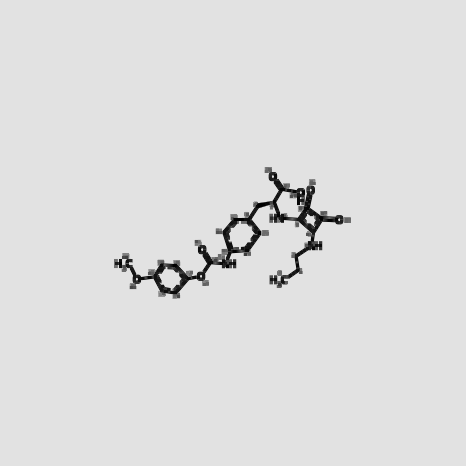 CCCNc1c(N[C@@H](Cc2ccc(NC(=O)Oc3ccc(OC)cc3)cc2)C(=O)O)c(=O)c1=O